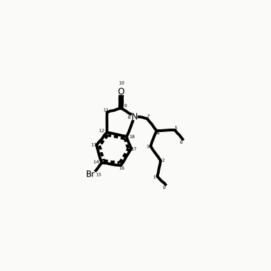 CCCCC(CC)CN1C(=O)Cc2cc(Br)ccc21